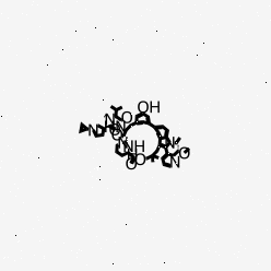 CCn1c(-c2cccnc2[C@H](C)OC)c2c3cc(ccc31)-c1cc(O)cc(c1)C[C@H](NC(=O)C(C(C)C)N(C)C(=O)[C@H]1CCN(C3CC3)C1)C(=O)N1CCC[C@H](N1)C(=O)OCC(C)(C)C2